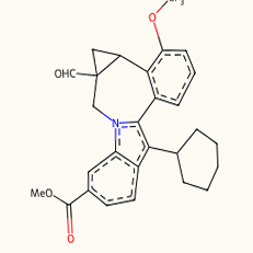 COC(=O)c1ccc2c(C3CCCCC3)c3n(c2c1)CC1(C=O)CC1c1c(OC(F)(F)F)cccc1-3